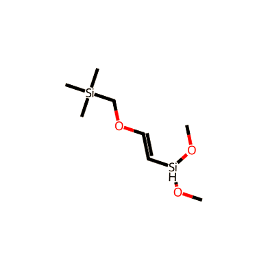 CO[SiH](C=COC[Si](C)(C)C)OC